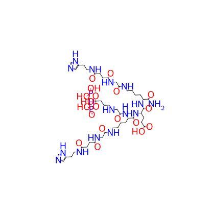 NC(=O)C(CCCCNC(=O)CNC(=O)CCC(=O)NCCc1cnc[nH]1)NC(=O)C(CCC(=O)O)NC(=O)C(CCCCNC(=O)CNC(=O)CCC(=O)NCCc1cnc[nH]1)NC(=O)CNCCCC(O)(OP(O)O)O[PH](=O)O